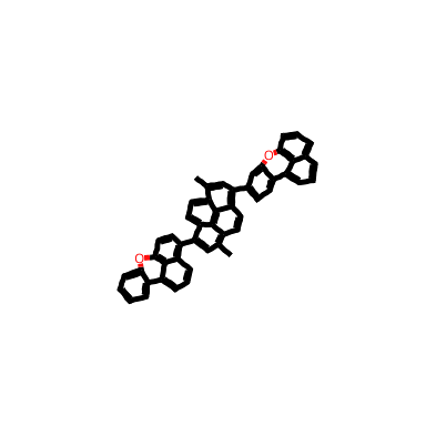 Cc1cc(-c2ccc3c(c2)Oc2cccc4cccc-3c24)c2ccc3c(C)cc(-c4ccc5c6c(cccc46)-c4ccccc4O5)c4ccc1c2c34